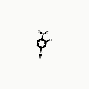 N#[N+]c1ccc([N+](=O)[O-])c(Cl)c1